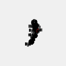 Cn1c(C(=O)Cc2ccc(N)cc2)ccc1[C@@H]1O[C@@H]2C[C@H]3[C@@H]4CC/C5=C/COC/C=C\[C@]5(C)[C@H]4[C@@H](O)C[C@]3(C)[C@]2(C(=O)CO)O1